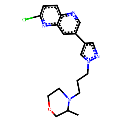 CC1COCCN1CCCn1cc(-c2cnc3ccc(Cl)nc3c2)cn1